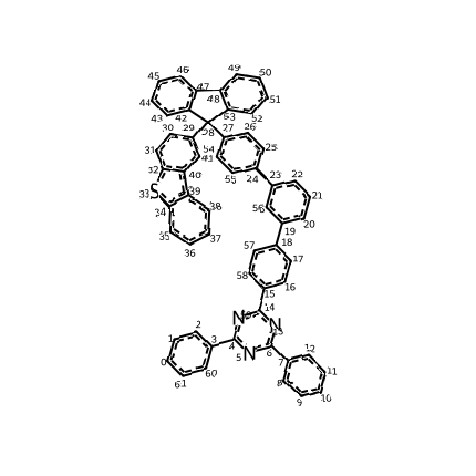 c1ccc(-c2nc(-c3ccccc3)nc(-c3ccc(-c4cccc(-c5ccc(C6(c7ccc8sc9ccccc9c8c7)c7ccccc7-c7ccccc76)cc5)c4)cc3)n2)cc1